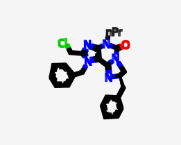 CCCN1C(=O)N2C[C@@H](Cc3ccccc3)N=C2c2c1nc(CCl)n2Cc1ccccc1